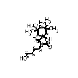 CC1(C)CC2(CC(C)(C)N1)NC(=O)N(CCCCO)C2=O